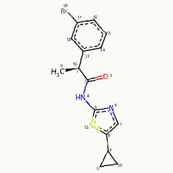 C[C@H](C(=O)Nc1ncc(C2CC2)s1)c1cccc(Br)c1